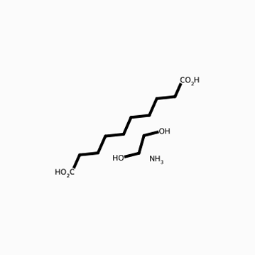 N.O=C(O)CCCCCCCCC(=O)O.OCCO